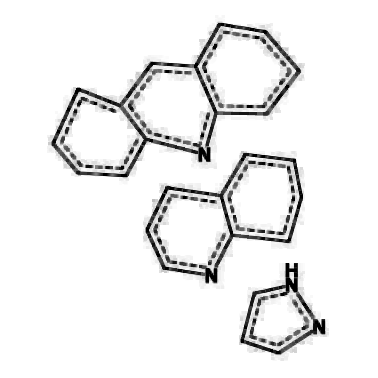 c1ccc2nc3ccccc3cc2c1.c1ccc2ncccc2c1.c1cn[nH]c1